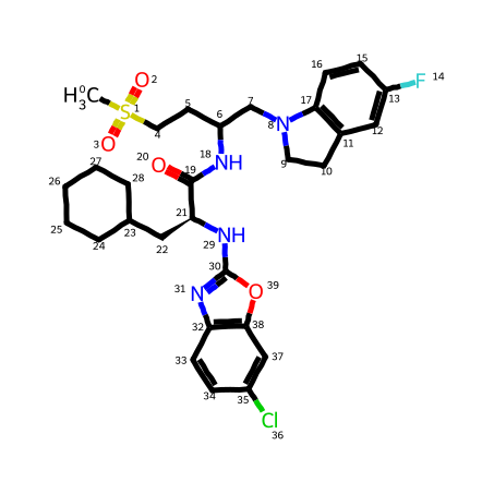 CS(=O)(=O)CCC(CN1CCc2cc(F)ccc21)NC(=O)[C@H](CC1CCCCC1)Nc1nc2ccc(Cl)cc2o1